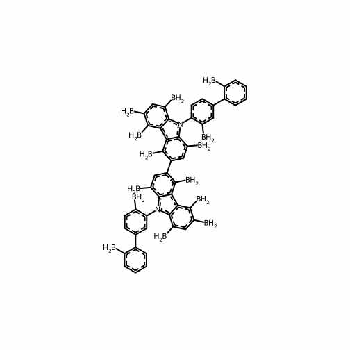 Bc1ccccc1-c1ccc(-n2c3c(B)cc(B)c(B)c3c3c(B)c(-c4cc(B)c5c(c4B)c4c(B)c(B)cc(B)c4n5-c4cc(-c5ccccc5B)ccc4B)cc(B)c32)c(B)c1